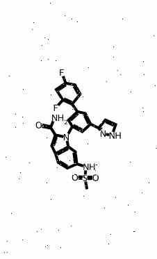 CS(=O)(=O)Nc1ccc2cc(C(N)=O)n(-c3cc(-c4cc[nH]n4)cc(-c4ccc(F)cc4F)c3)c2c1